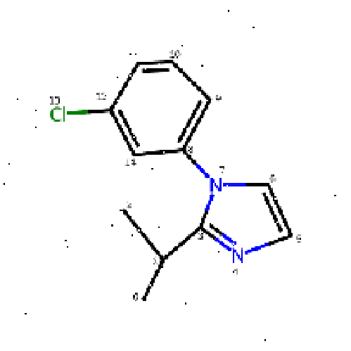 CC(C)c1nccn1-c1cccc(Cl)c1